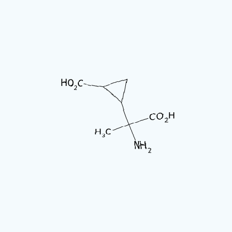 CC(N)(C(=O)O)C1CC1C(=O)O